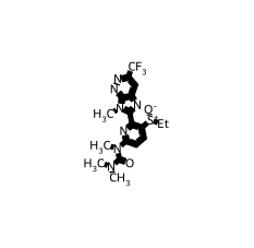 CC[S+]([O-])c1ccc(N(C)C(=O)N(C)C)nc1-c1nc2cc(C(F)(F)F)nnc2n1C